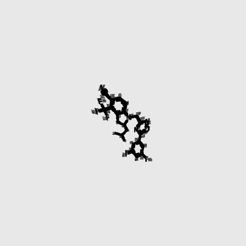 CC(C)CC1Cc2c(ccc(C#N)c2C(F)(F)F)N1Cc1noc(-c2cc(F)cc(F)c2)n1